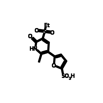 CCS(=O)(=O)c1cc(-c2ccc(S(=O)(=O)O)o2)c(C)[nH]c1=O